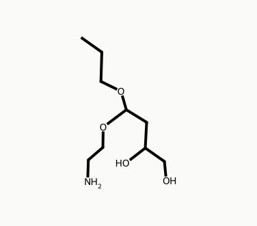 CCCOC(CC(O)CO)OCCN